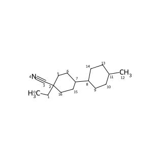 CCC1(C#N)CCC(C2CCC(C)CC2)CC1